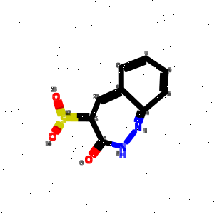 O=c1[nH]nc2ccccc2cc1=S(=O)=O